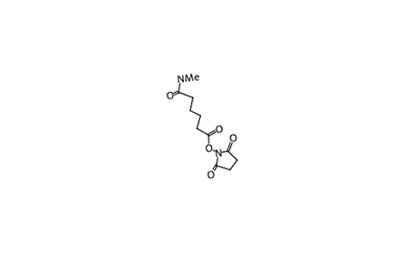 CNC(=O)CCCCC(=O)ON1C(=O)CCC1=O